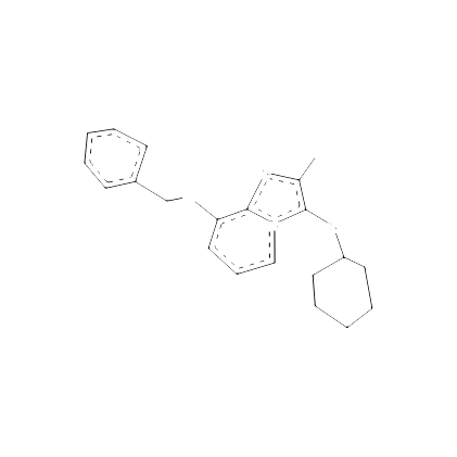 Cc1nc2c(OCc3ccccc3)cccn2c1NC1CCCCC1